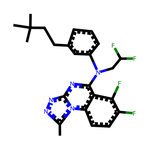 Cc1nnc2nc(N(CC(F)F)c3cccc(CCC(C)(C)C)c3)c3c(F)c(F)ccc3n12